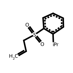 C=CCS(=O)(=O)c1ccccc1C(C)C